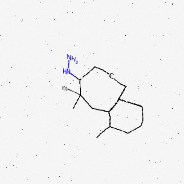 CCC1(C)CC2C(C)CCCC2CCCC1NN